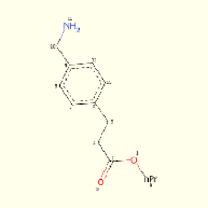 CCCOC(=O)CCc1ccc(CN)cc1